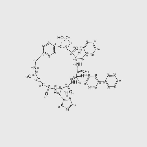 O=C(O)CN1Cc2ccc(cc2)CNC(=O)CCC(=O)N[C@H](Cc2cccs2)C(=O)N[C@@H](Cc2ccc(-c3ccccc3)cc2)C(=O)N[C@H](Cc2ccccc2)C1=O